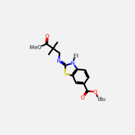 CCn1c(=NCC(C)(C)C(=O)OC)sc2cc(C(=O)OC(C)(C)C)ccc21